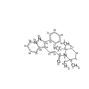 CC1(C)CCCC(C)(C)N1C(=O)/C=C/c1c(-c2ccccc2)nn2ccccc12